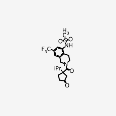 CC(C)[C@]1(C(=O)N2CCc3c(cc(C(F)(F)F)cc3NS(C)(=O)=O)C2)CCC(=O)C1